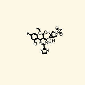 CCOC(=O)C1=C([C@@H]2[C@@H]3CN(S(C)(=O)=O)C[C@@H]32)NC(c2nccs2)=NC1c1ccc(F)cc1Cl